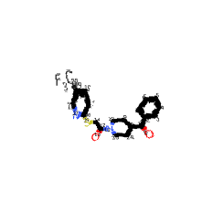 O=C(c1ccccc1)C1CCN(C(=O)CSc2ccc(C(F)(F)F)cn2)CC1